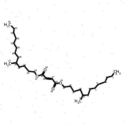 CCCCCCCCC(C)CCCCOC(=O)C=CC(=O)OCCCCC(C)CCCCCCCC